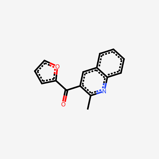 Cc1nc2ccccc2cc1C(=O)c1ccco1